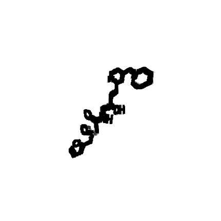 O=C(C[S+]([O-])Cc1ccco1)NCC(O)CCc1cc(CN2CCCCC2)ccn1